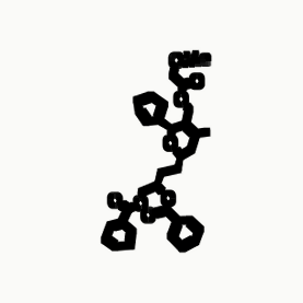 COCC(=O)OCC1=C(C)C[C@@H](CC[C@H](COC(=O)c2ccccc2)OC(=O)c2ccccc2)O[C@H]1c1ccccc1